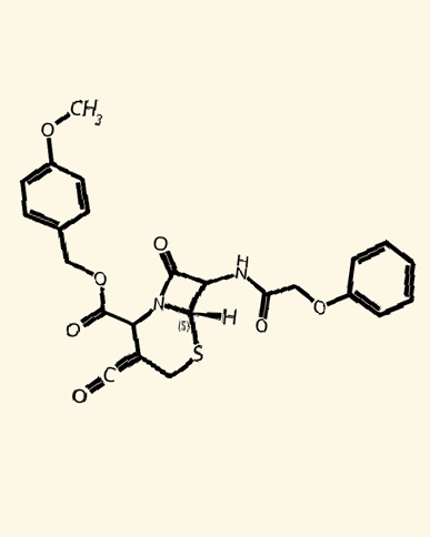 COc1ccc(COC(=O)C2C(=C=O)CS[C@H]3C(NC(=O)COc4ccccc4)C(=O)N23)cc1